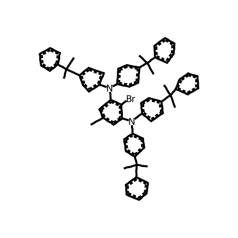 Cc1cc(N(c2ccc(C(C)(C)c3ccccc3)cc2)c2ccc(C(C)(C)c3ccccc3)cc2)c(Br)c(N(c2ccc(C(C)(C)c3ccccc3)cc2)c2ccc(C(C)(C)c3ccccc3)cc2)c1